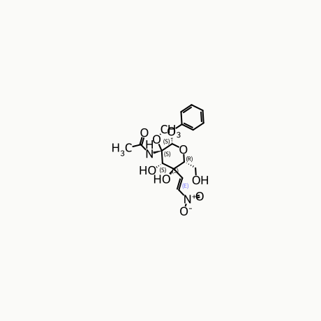 CO[C@]1(NC(C)=O)[C@H](Oc2ccccc2)O[C@H](CO)[C@](O)(/C=C/[N+](=O)[O-])[C@@H]1O